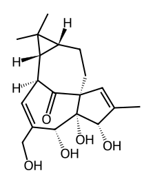 CC1=C[C@@]23CC[C@@H]4[C@H]([C@H](C=C(CO)[C@@H](O)[C@]2(O)[C@H]1O)C3=O)C4(C)C